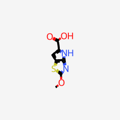 COc1nc2[nH]c(C(=O)O)cc2s1